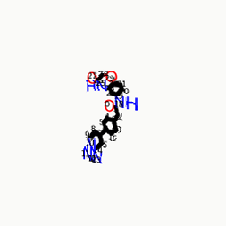 O=C(Cc1ccc(-c2ccn3ncnc3c2)cc1)Nc1ccc2c(c1)NC(=O)CO2